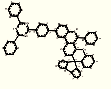 c1ccc(-c2nc(-c3ccccc3)nc(-c3ccc(-c4ccc5nc(-c6ccccc6)c6c7c(ccc6c5c4)C4(c5ccccc5S7)c5ccccc5-c5ccccc54)cc3)n2)cc1